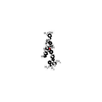 CC(C)c1ccccc1[C@@H]1COC[C@H](C)N1C1CC2(CCN(c3ccc(C(=O)NS(=O)(=O)c4ccc(NCC5CCC(C)(O)CC5)c([N+](=O)[O-])c4)c(N4c5cc6cc[nH]c6nc5O[C@H]5COCC[C@@H]54)c3)CC2)C1